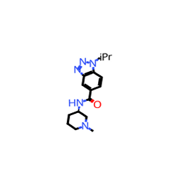 CC(C)n1nnc2cc(C(=O)N[C@@H]3CCCN(C)C3)ccc21